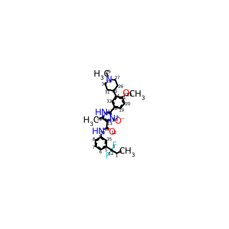 CCC(F)(F)c1cccc(NC(=O)c2c(C)[nH]c(-c3ccc(OC)c(C4CCN(C)CC4)c3)[n+]2[O-])c1